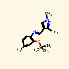 Cc1ccc(/N=C/c2cn(C)nc2C)c(O[Si](C)(C)C)c1